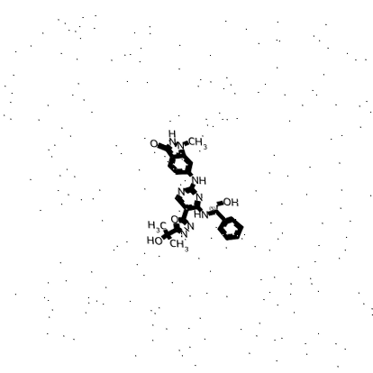 Cn1[nH]c(=O)c2ccc(Nc3ncc(-c4nnc(C(C)(C)O)o4)c(N[C@H](CO)c4ccccc4)n3)cc21